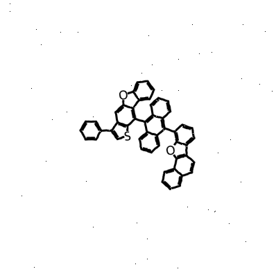 c1ccc(-c2csc3c(-c4c5ccccc5c(-c5cccc6c5oc5c7ccccc7ccc65)c5ccccc45)c4c(cc23)oc2ccccc24)cc1